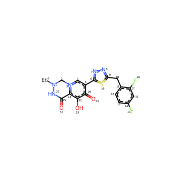 CCN1Cn2cc(-c3nnc(Cc4ccc(F)cc4F)s3)c(=O)c(O)c2C(=O)N1